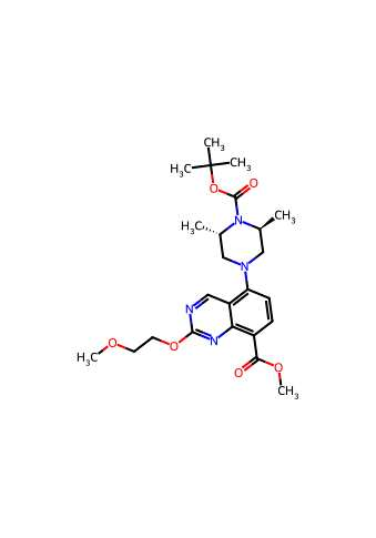 COCCOc1ncc2c(N3C[C@H](C)N(C(=O)OC(C)(C)C)[C@@H](C)C3)ccc(C(=O)OC)c2n1